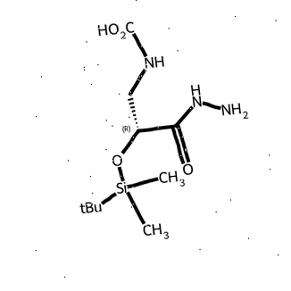 CC(C)(C)[Si](C)(C)O[C@H](CNC(=O)O)C(=O)NN